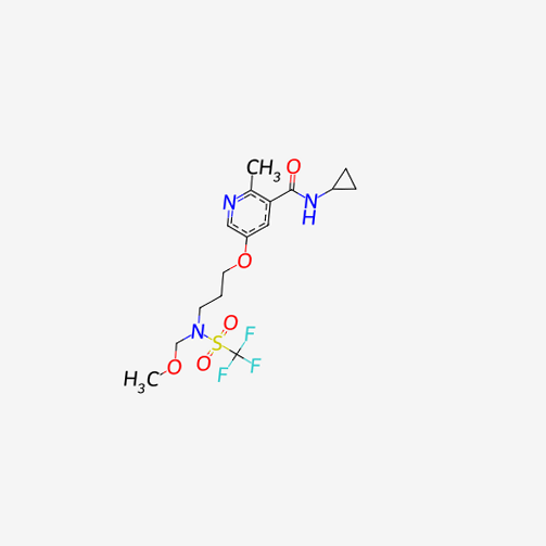 COCN(CCCOc1cnc(C)c(C(=O)NC2CC2)c1)S(=O)(=O)C(F)(F)F